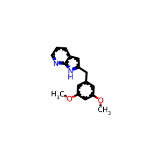 COc1cc(Cc2cc3cccnc3[nH]2)cc(OC)c1